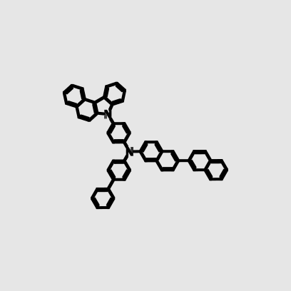 c1ccc(-c2ccc(N(c3ccc(-n4c5ccccc5c5c6ccccc6ccc54)cc3)c3ccc4cc(-c5ccc6ccccc6c5)ccc4c3)cc2)cc1